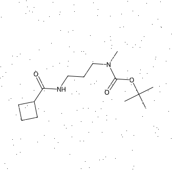 CN(CCCNC(=O)C1CCC1)C(=O)OC(C)(C)C